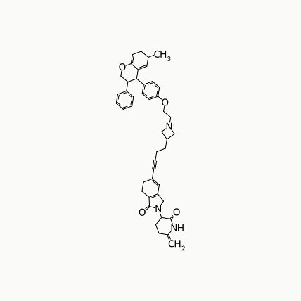 C=C1CCC(N2CC3=C(CCC(C#CCCC4CN(CCOc5ccc(C6C7=CC(C)CC=C7OCC6c6ccccc6)cc5)C4)=C3)C2=O)C(=O)N1